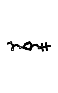 COC(=O)COc1ccc(CO[Si](C)(C)C(C)(C)C)cc1